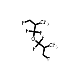 FCC(C(F)(F)F)C(F)(F)OC(F)(F)C(CF)C(F)(F)F